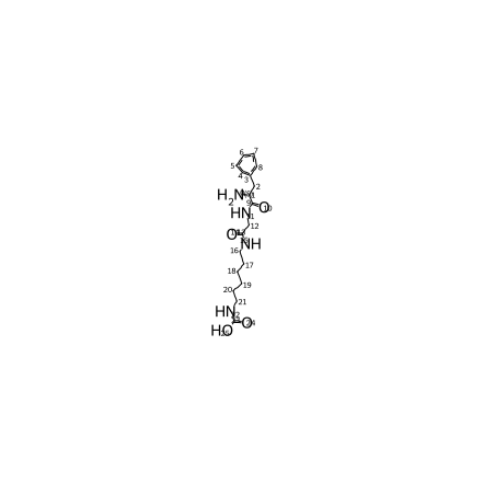 N[C@@H](Cc1ccccc1)C(=O)NCC(=O)NCCCCCCNC(=O)O